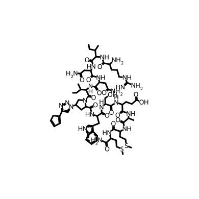 CCC(C)C(NC(=O)C(N)CCCNC(=N)N)C(=O)NC(CC(N)=O)C(=O)NC(CC(N)=O)C(=O)NC(C(=O)N1CC(n2cc(C3=CC=CC3)nn2)CC1C(=O)NC(Cc1c[nH]c2ccccc12)C(=O)NC(CO)C(=O)NC(CCC(=O)O)C(=O)NC(C)C(=O)NC(CCSC)C(=O)NC(CCSC)C(N)=O)C(C)CC